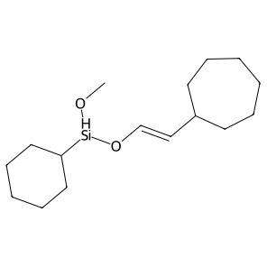 CO[SiH](OC=CC1CCCCCC1)C1CCCCC1